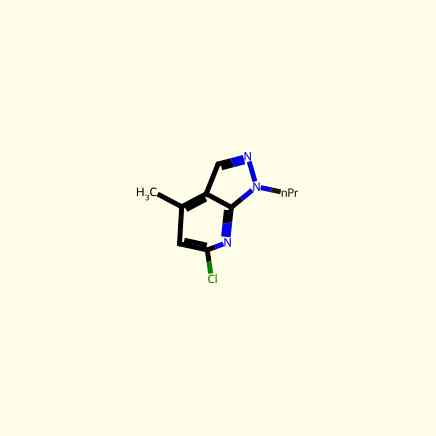 CCCn1ncc2c(C)cc(Cl)nc21